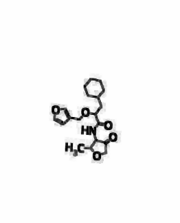 CC1OCC(=O)C1NC(=O)C(CC1CCCCC1)OCc1ccoc1